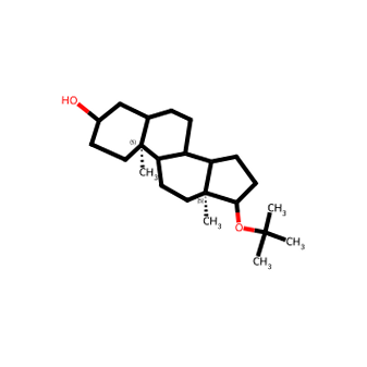 CC(C)(C)OC1CCC2C3CCC4CC(O)CC[C@]4(C)C3CC[C@]12C